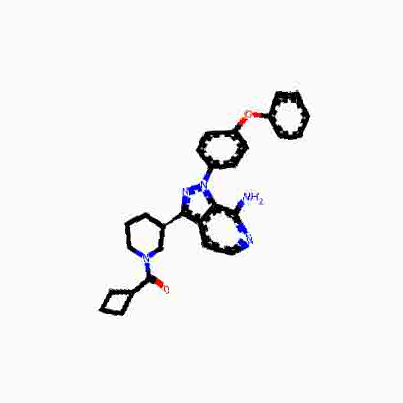 Nc1nccc2c([C@@H]3CCCN(C(=O)C4CCC4)C3)nn(-c3ccc(Oc4ccccc4)cc3)c12